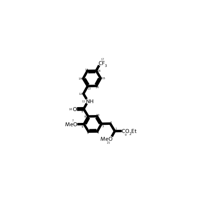 CCOC(=O)C(Cc1ccc(OC)c(C(=O)NCc2ccc(C(F)(F)F)cc2)c1)OC